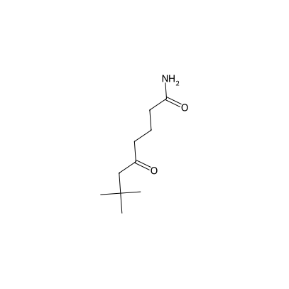 CC(C)(C)CC(=O)CCCC(N)=O